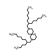 CCCCCCC(CCCCCC)CN1CCC2(CC1)CN(CC(CCCC)CCCCCC)CCO2